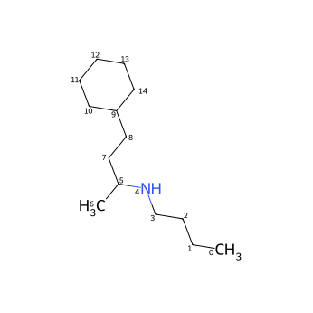 CCCCNC(C)CCC1CCCCC1